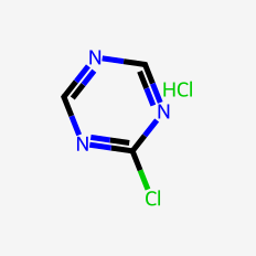 Cl.Clc1ncncn1